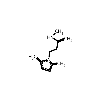 C=C(CCn1c(=C)ccc1=C)NC